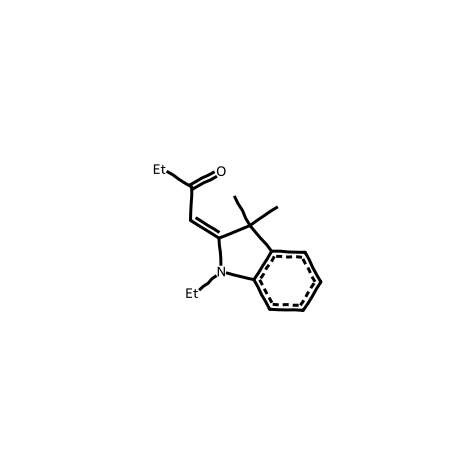 CCC(=O)/C=C1/N(CC)c2ccccc2C1(C)C